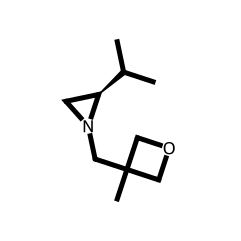 CC(C)[C@@H]1CN1CC1(C)COC1